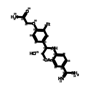 CCc1cc(C(COC(C)=O)Nc2ccc(C(=N)N)cc2)ccc1OCC(N)=O.Cl